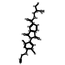 C#CCOc1cc(C)c(N2C(=O)c3ccc(C(=O)OCC(O)CC)cc3C2=O)cc1C